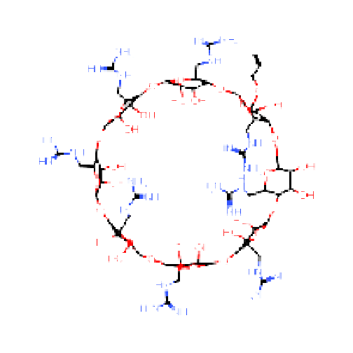 C=CCOC1C2OC(CNC(=N)N)C(OC3OC(CNC(=N)N)C(OC4OC(CNC(=N)N)C(OC5OC(CNC(=N)N)C(OC6OC(CNC(=N)N)C(OC7OC(CNC(=N)N)C(OC8OC(CNC(=N)N)C(OC9OC(CNC(=N)N)C(O2)C(O)C9O)C(O)C8O)C(O)C7O)C(O)C6O)C(O)C5O)C(O)C4O)C(O)C3O)C1O